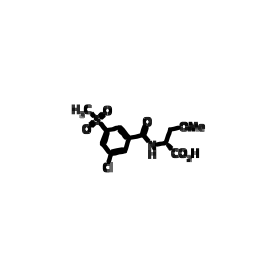 COC[C@H](NC(=O)c1cc(Cl)cc(S(C)(=O)=O)c1)C(=O)O